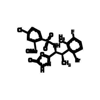 COc1cc(Cl)ccc1S(=O)(=O)N[C@H](c1n[nH]c(=O)o1)[C@H](C)c1c(Br)ccc(F)c1C